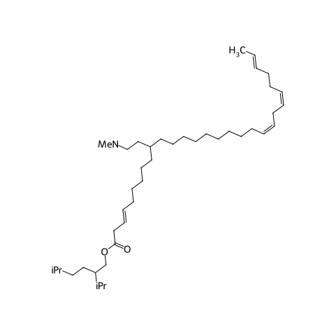 C/C=C/CC/C=C\C/C=C\CCCCCCCCCC(CCCCC/C=C/CC(=O)OCC(CCC(C)C)C(C)C)CCNC